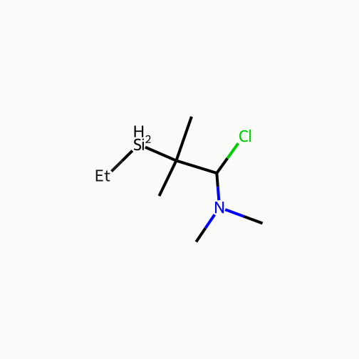 CC[SiH2]C(C)(C)C(Cl)N(C)C